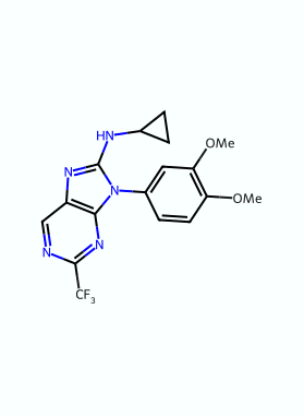 COc1ccc(-n2c(NC3CC3)nc3cnc(C(F)(F)F)nc32)cc1OC